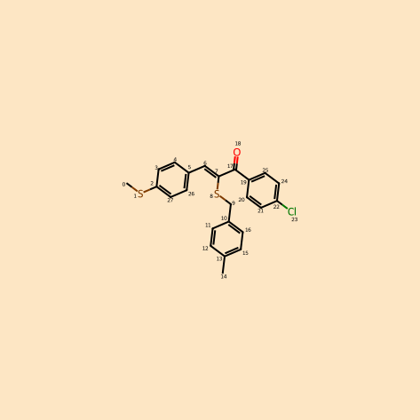 CSc1ccc(C=C(SCc2ccc(C)cc2)C(=O)c2ccc(Cl)cc2)cc1